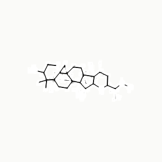 CCO[C@H](C(C)C)C1C[C@@H](C)[C@H]2C(O1)[C@H](O)[C@@]1(C)[C@@H]3CC[C@H]4C(C)(C)C(O)CC[C@@]45C[C@@]35CC[C@]21C